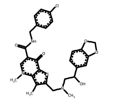 Cc1c(CN(C)CC(O)c2ccc3c(c2)OCO3)sc2c(=O)c(C(=O)NCc3ccc(Cl)cc3)cn(C)c12